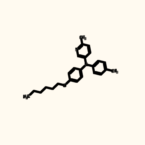 CCCCCCOc1ccc(N(c2ccc(C)cc2)c2ccc(C)nc2)cc1